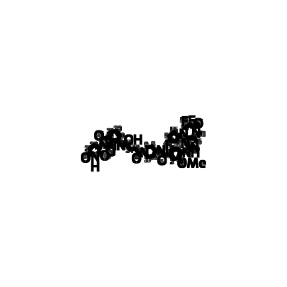 COc1cc(C(=O)NC2CCN(C(=O)CCC(O)Nc3cccc4c3C(=O)N(C3CCC(=O)NC3=O)C4=O)CC2)c(F)cc1Nc1ncc2c(n1)N(C1CCCC1)CC(F)(F)C(=O)N2C